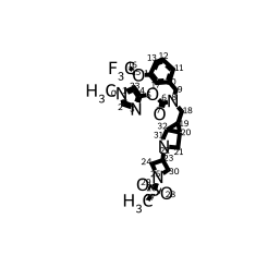 Cn1cnc(OC(=O)N(Cc2cccc(OC(F)(F)F)c2)CC2C3CN(C4CN(S(C)(=O)=O)C4)CC23)c1